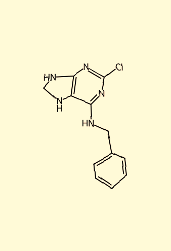 Clc1nc2c(c(NCc3ccccc3)n1)NCN2